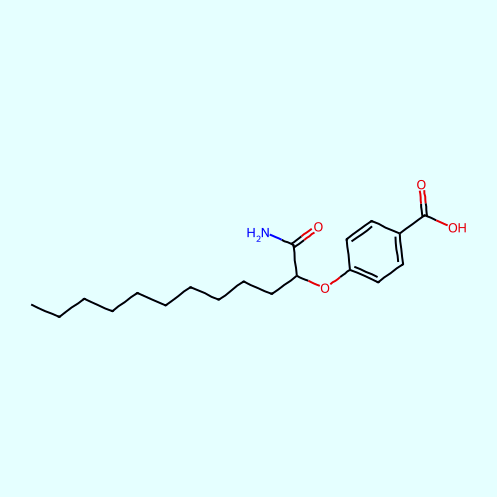 CCCCCCCCCCC(Oc1ccc(C(=O)O)cc1)C(N)=O